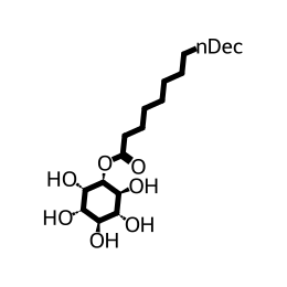 CCCCCCCCCCCCCCCCCC(=O)O[C@@H]1[C@@H](O)[C@H](O)[C@@H](O)[C@H](O)[C@@H]1O